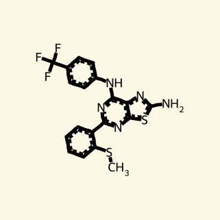 CSc1ccccc1-c1nc(Nc2ccc(C(F)(F)F)cc2)c2nc(N)sc2n1